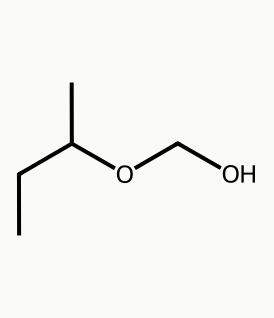 CCC(C)OCO